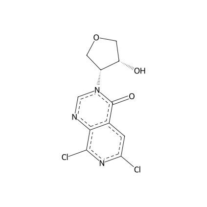 O=c1c2cc(Cl)nc(Cl)c2ncn1[C@@H]1COC[C@@H]1O